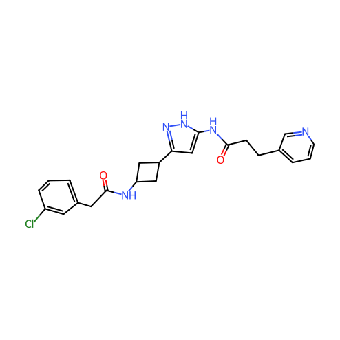 O=C(CCc1cccnc1)Nc1cc(C2CC(NC(=O)Cc3cccc(Cl)c3)C2)n[nH]1